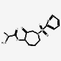 C[C@H](N)C(=O)NC1CCCN(S(=O)(=O)c2ccccn2)CC1=O